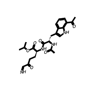 CC(=O)N[C@@H](Cc1c[nH]c2c(C(C)=O)cccc12)C(=O)N[C@@H](CCC(=O)C=N)C(=O)OC(C)C